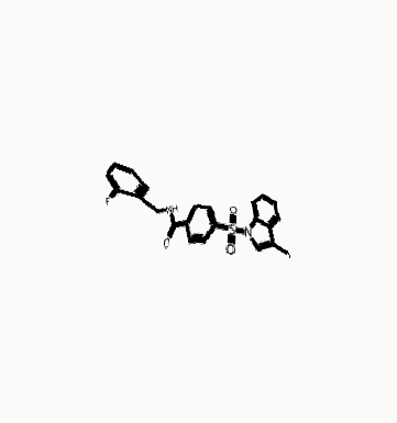 O=C(NCc1ccccc1F)c1ccc(S(=O)(=O)n2cc(I)c3ccccc32)cc1